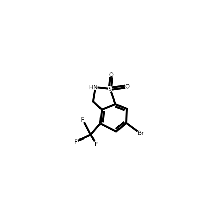 O=S1(=O)NCc2c(C(F)(F)F)cc(Br)cc21